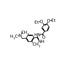 CCOc1ccc(C(=O)NC(=N)c2ccc(CN(C)C)cc2C)cc1OCC